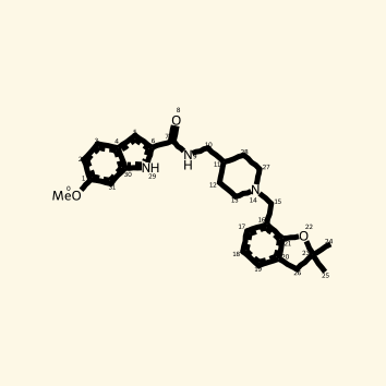 COc1ccc2cc(C(=O)NCC3CCN(Cc4cccc5c4OC(C)(C)C5)CC3)[nH]c2c1